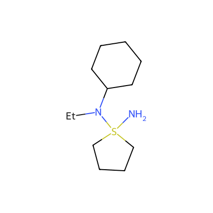 CCN(C1CCCCC1)S1(N)CCCC1